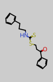 O=C(CCSC(=S)NCCCc1ccccc1)c1ccccc1